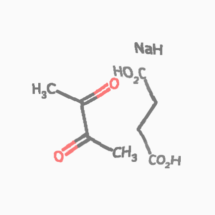 CC(=O)C(C)=O.O=C(O)CCC(=O)O.[NaH]